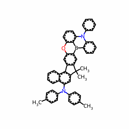 Cc1ccc(N(c2ccc(C)cc2)c2cc3c(c4ccccc24)-c2cc4c(cc2C3(C)C)B2c3ccccc3N(c3ccccc3)c3cccc(c32)O4)cc1